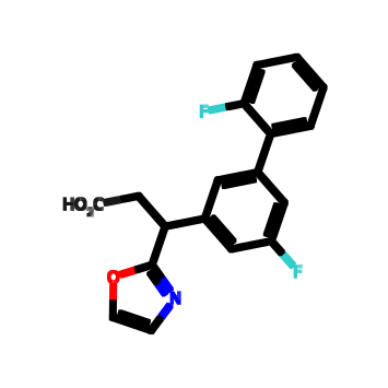 O=C(O)CC(c1cc(F)cc(-c2ccccc2F)c1)c1ncco1